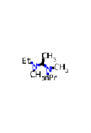 CCCN(C)C(C)N(C)CC